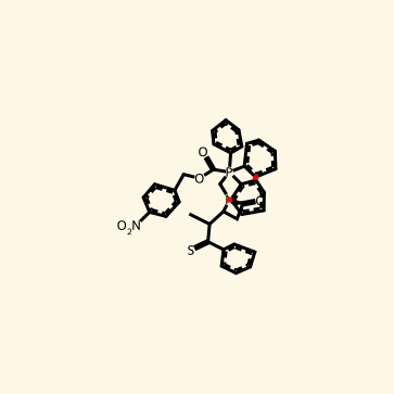 CC(C(=S)c1ccccc1)C1CC(=O)N1CP(C(=O)OCc1ccc([N+](=O)[O-])cc1)(c1ccccc1)(c1ccccc1)c1ccccc1